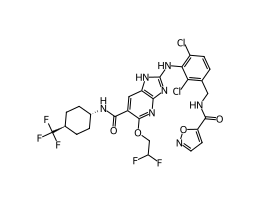 O=C(NCc1ccc(Cl)c(Nc2nc3nc(OCC(F)F)c(C(=O)N[C@H]4CC[C@H](C(F)(F)F)CC4)cc3[nH]2)c1Cl)c1ccno1